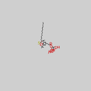 CCCCCCCCCCCCCCC(=S)Oc1c(C(C)(C)C)cc(CCC(=O)OCC(CO)(CO)CO)cc1C(C)(C)C